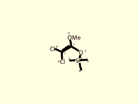 COC(O[Si](C)(C)C)=C(Cl)Cl